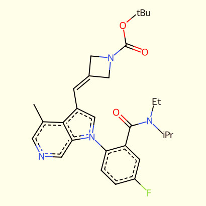 CCN(C(=O)c1cc(F)ccc1-n1cc(C=C2CN(C(=O)OC(C)(C)C)C2)c2c(C)cncc21)C(C)C